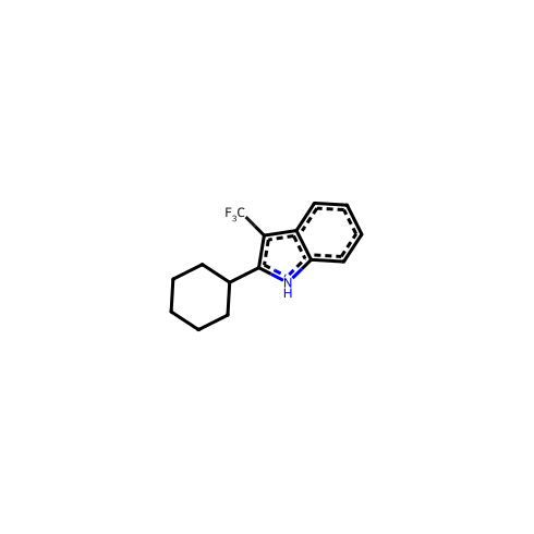 FC(F)(F)c1c(C2CCCCC2)[nH]c2ccccc12